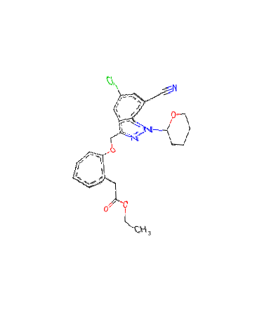 CCOC(=O)Cc1ccccc1OCc1nn(C2CCCCO2)c2c(C#N)cc(Cl)cc12